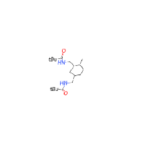 CC1CCC(CNC(=O)C(C)(C)C)CC1CNC(=O)C(C)(C)C